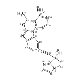 CCOc1nc2ccc(C#CC3(O)CCn4ccnc43)cc2n1-c1ccnc(N)n1